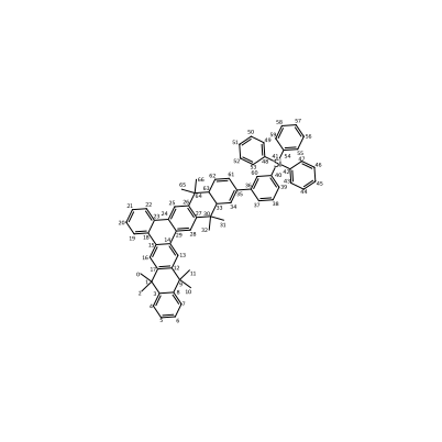 CC1(C)c2ccccc2C(C)(C)c2cc3c(cc21)c1ccccc1c1cc2c(cc31)C(C)(C)C1C=C(c3cccc([Si](c4ccccc4)(c4ccccc4)c4ccccc4)c3)C=CC1C2(C)C